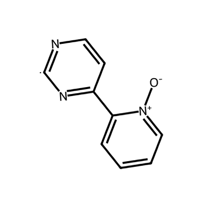 [O-][n+]1ccccc1-c1ccn[c]n1